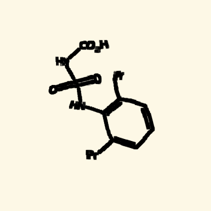 CC(C)c1cccc(C(C)C)c1NS(=O)(=O)NC(=O)O